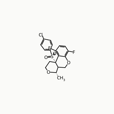 C[C@@H]1OCC[C@@]2(S(=O)(=O)c3ccc(Cl)cc3)c3c(F)ccc(F)c3OCC12